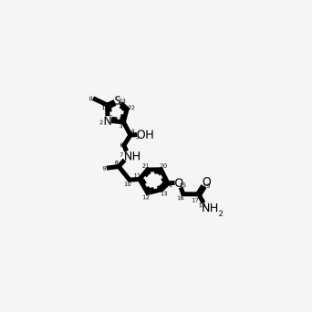 Cc1nc(C(O)CNC(C)Cc2ccc(OCC(N)=O)cc2)cs1